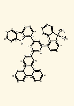 CC1(C)c2ccccc2-c2c(-c3cc(-c4cccc5c4sc4ccccc45)nc(-c4ccc5c6ccccc6c6ccccc6c5c4)n3)cccc21